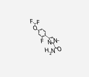 Cn1cc(-c2ccc(OC(F)F)cc2F)nc1C(N)=O